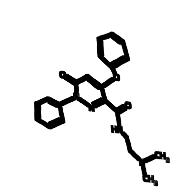 CN(C)CCNC(=O)c1nn(-c2ccccc2)c(=O)cc1Oc1ccccc1